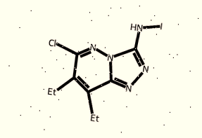 CCc1c(Cl)nn2c(NI)nnc2c1CC